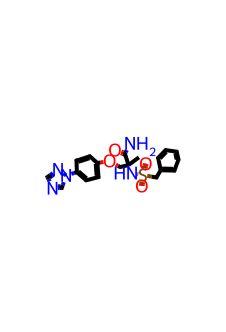 CC(COc1ccc(-n2cncn2)cc1)(NS(=O)(=O)Cc1ccccc1)C(N)=O